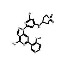 COc1ccncc1-c1cc2c(cnn2-c2cc(NC3CCS(=O)(=O)C3)cc(C(C)C)n2)c(C)n1